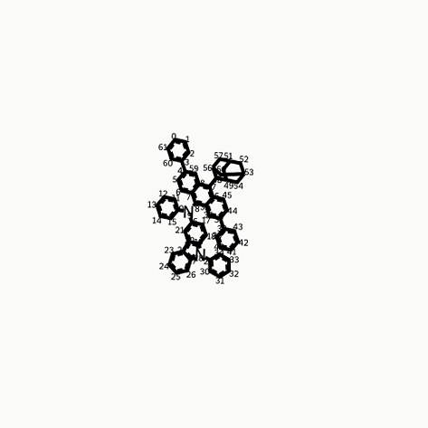 c1ccc(-c2ccc3c(N(c4ccccc4)c4ccc5c(c4)c4ccccc4n5-c4ccccc4)c4cc(-c5ccccc5)ccc4c(C4C5CC6CC(C5)CC4C6)c3c2)cc1